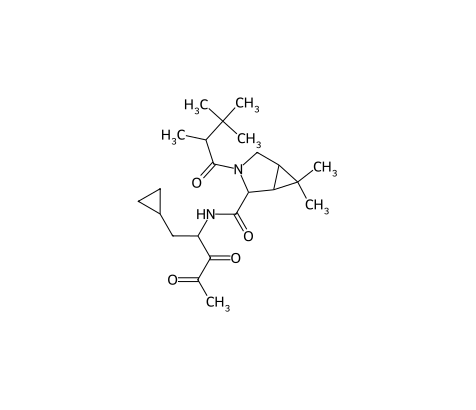 CC(=O)C(=O)C(CC1CC1)NC(=O)C1C2C(CN1C(=O)C(C)C(C)(C)C)C2(C)C